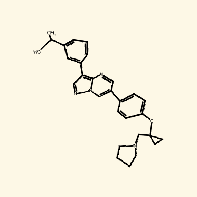 CC(O)c1cccc(-c2cnn3cc(-c4ccc(OC5(CN6CCCC6)CC5)cc4)cnc23)c1